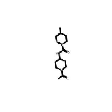 CC(=O)N1CCC(NC(=O)N2CCC(C)CC2)CC1